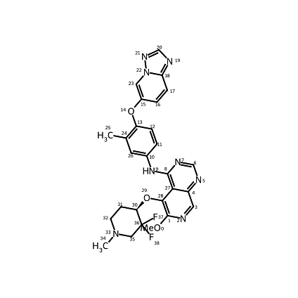 COc1ncc2ncnc(Nc3ccc(Oc4ccc5ncnn5c4)c(C)c3)c2c1O[C@@H]1CCN(C)CC1(F)F